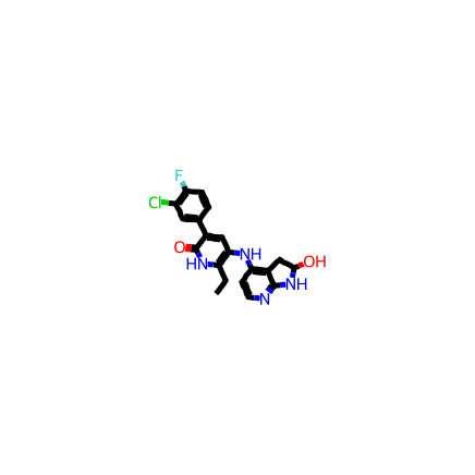 CCc1[nH]c(=O)c(-c2ccc(F)c(Cl)c2)cc1Nc1ccnc2c1CC(O)N2